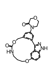 O=C1NCCCOc2ccc3[nH]nc(c3c2)-c2cc(cc(N3CCOCC3=O)c2)CO1